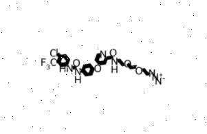 [N-]=[N+]=NCCOCCOCCNC(=O)c1cc(Oc2ccc(NC(=O)Nc3ccc(Cl)c(C(F)(F)F)c3)cc2)ccn1